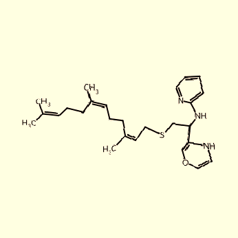 CC(C)=CCCC(C)=CCCC(C)=CCSCC(Nc1ccccn1)C1=COC=CN1